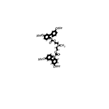 COc1ccc2c(c1)c1cc(OC)ccc1n2C(=O)OCCN(C)CCOC(=O)n1c2ccc(OC)cc2c2cc(OC)ccc21